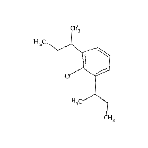 CCC(C)c1cccc(C(C)CC)c1[O]